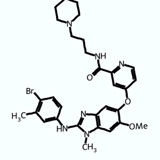 COc1cc2c(cc1Oc1ccnc(C(=O)NCCCN3CCCCC3)c1)nc(Nc1ccc(Br)c(C)c1)n2C